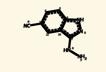 N#Cc1ccc2[nH]nc(NN)c2c1